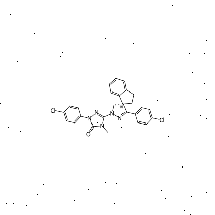 Cn1c(N2C[C@]3(CCc4ccccc43)C(c3ccc(Cl)cc3)=N2)nn(-c2ccc(Cl)cc2)c1=O